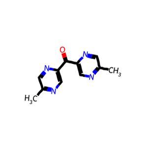 Cc1cnc(C(=O)c2cnc(C)cn2)cn1